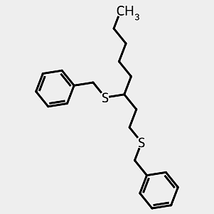 CCCCCC(CCSCc1ccccc1)SCc1ccccc1